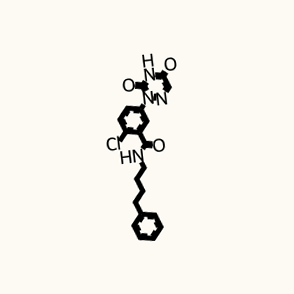 O=C(NCCCCc1ccccc1)c1cc(-n2ncc(=O)[nH]c2=O)ccc1Cl